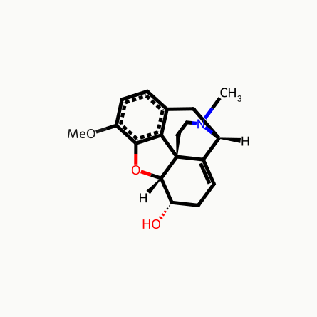 COc1ccc2c3c1O[C@H]1[C@@H](O)CC=C4[C@@H](C2)N(C)CC[C@]431